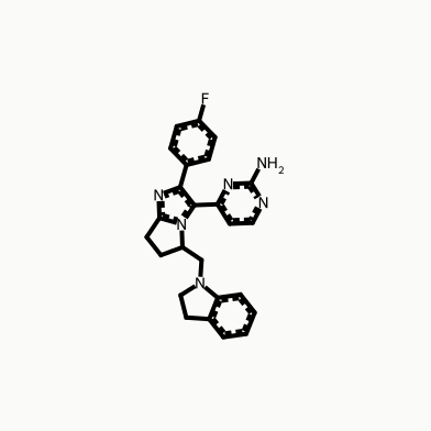 Nc1nccc(-c2c(-c3ccc(F)cc3)nc3n2C(CN2CCc4ccccc42)CC3)n1